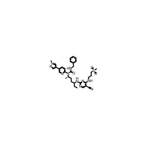 CCC(CC[C@@H](C)N(C(=O)NCc1ccccc1)c1ccc(-c2cnn(C)c2)cn1)Nc1ncc(C#N)c(NCCCS(C)(=O)=O)n1